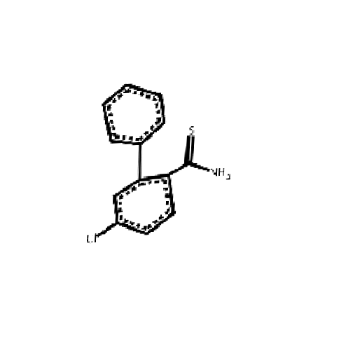 NC(=S)c1ccc(Cl)cc1-c1ccccc1